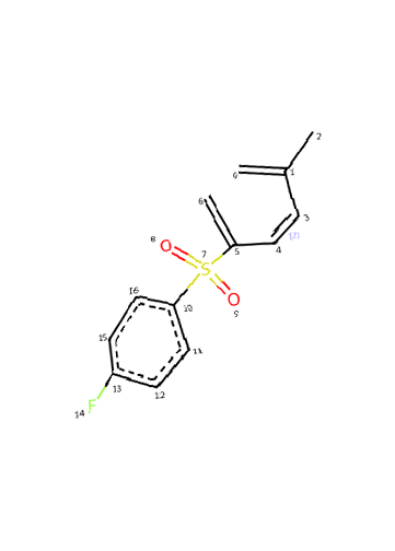 C=C(C)/C=C\C(=C)S(=O)(=O)c1ccc(F)cc1